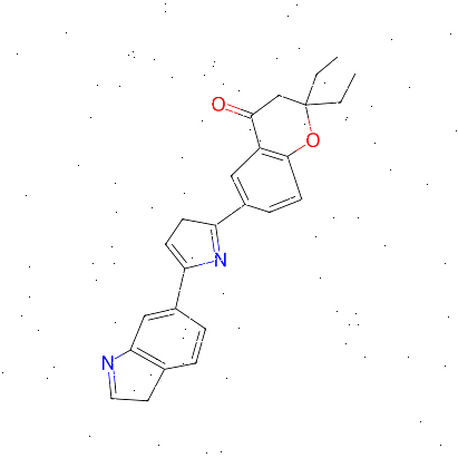 CCC1(CC)CC(=O)c2cc(C3=NC(c4ccc5c(c4)N=CC5)=CC3)ccc2O1